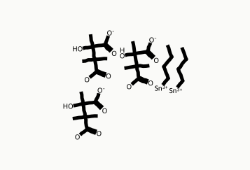 CC(C)(C(=O)[O-])C(C)(O)C(=O)[O-].CC(C)(C(=O)[O-])C(C)(O)C(=O)[O-].CC(C)(C(=O)[O-])C(C)(O)C(=O)[O-].CCC[CH2][Sn+3].CCC[CH2][Sn+3]